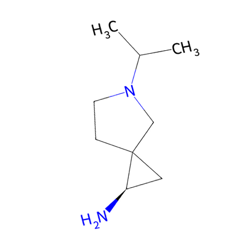 CC(C)N1CCC2(C[C@H]2N)C1